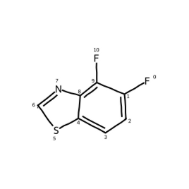 Fc1ccc2s[c]nc2c1F